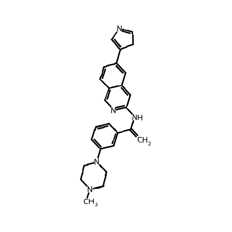 C=C(Nc1cc2cc(C3=CN=CC3)ccc2cn1)c1cccc(N2CCN(C)CC2)c1